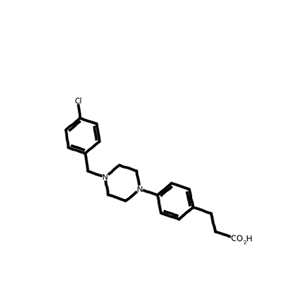 O=C(O)CCc1ccc(N2CCN(Cc3ccc(Cl)cc3)CC2)cc1